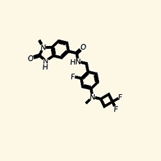 CN(c1ccc(CNC(=O)c2ccc3c(c2)[nH]c(=O)n3C)c(F)c1)C1CC(F)(F)C1